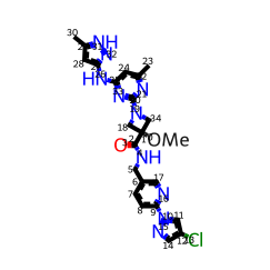 COC1(C(=O)NCc2ccc(-n3cc(Cl)cn3)nc2)CN(c2nc(C)cc(Nc3cc(C)[nH]n3)n2)C1